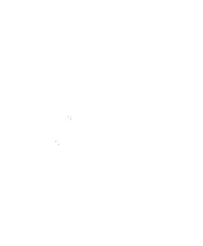 CCC(C)N1CCN(CCCc2ccc(OC)cc2)CC1